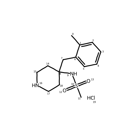 Cc1ccccc1CC1(NS(C)(=O)=O)CCNCC1.Cl